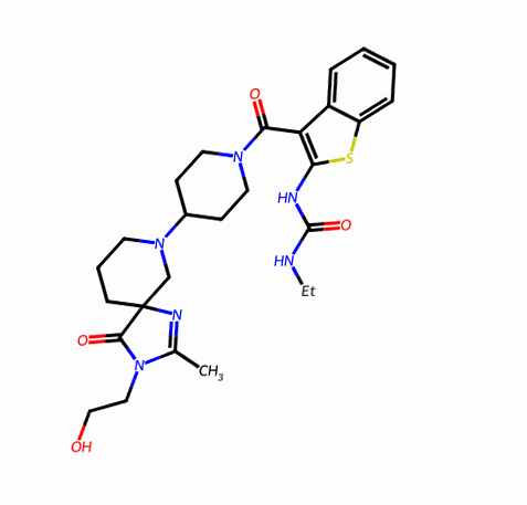 CCNC(=O)Nc1sc2ccccc2c1C(=O)N1CCC(N2CCCC3(C2)N=C(C)N(CCO)C3=O)CC1